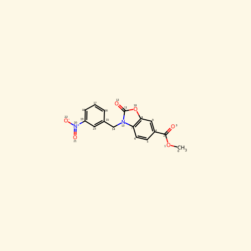 COC(=O)c1ccc2c(c1)oc(=O)n2Cc1cccc([N+](=O)[O-])c1